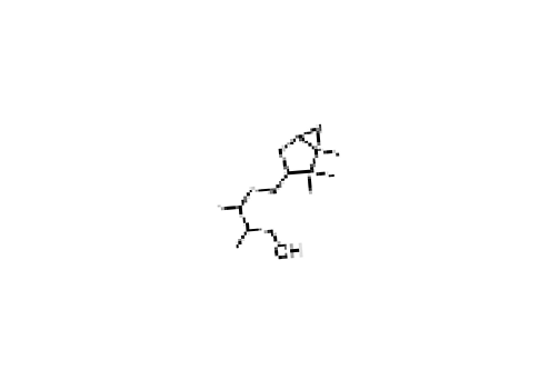 CC(CO)C(C)CCC1CC2CC2(C)C1(C)C